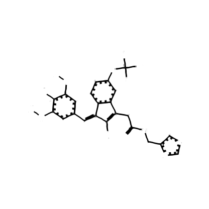 COc1cc(/C=C2/C(C)=C(CC(=O)NCc3cncs3)c3cc(OC(F)(F)F)ccc32)cc(OC)c1O